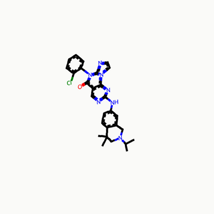 CC(C)N1Cc2cc(Nc3ncc4c(=O)n(-c5ccccc5Cl)c5nccn5c4n3)ccc2C(C)(C)C1